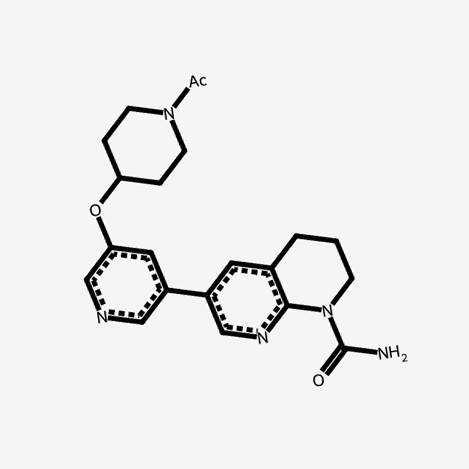 CC(=O)N1CCC(Oc2cncc(-c3cnc4c(c3)CCCN4C(N)=O)c2)CC1